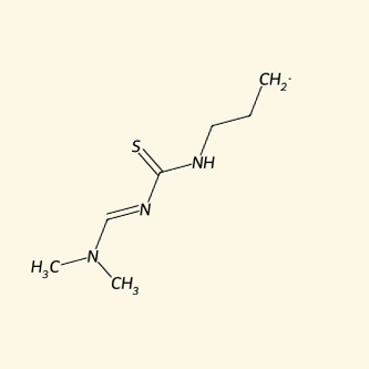 [CH2]CCNC(=S)N=CN(C)C